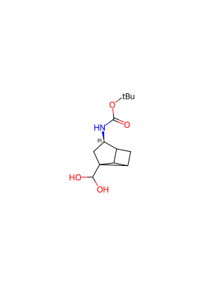 CC(C)(C)OC(=O)N[C@@H]1CC2(C(O)O)C3CC1C32